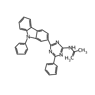 C=C(C)Nc1nc(-c2ccccc2)nc(-c2ccc3c4ccccc4n(-c4ccccc4)c3c2)n1